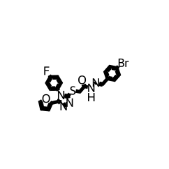 O=C(CSc1nnc(-c2ccco2)n1-c1ccc(F)cc1)NN=Cc1ccc(Br)cc1